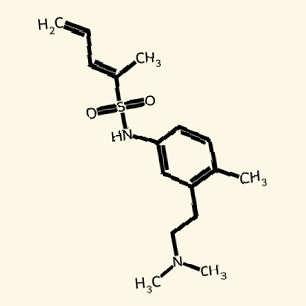 C=C/C=C(\C)S(=O)(=O)Nc1ccc(C)c(CCN(C)C)c1